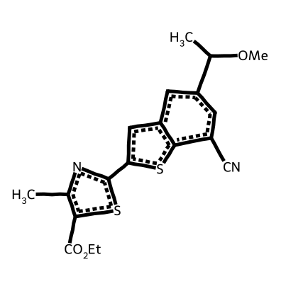 CCOC(=O)c1sc(-c2cc3cc(C(C)OC)cc(C#N)c3s2)nc1C